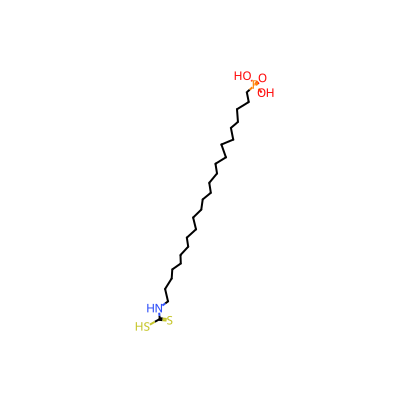 O=P(O)(O)CCCCCCCCCCCCCCCCCCCCCCCCNC(=S)S